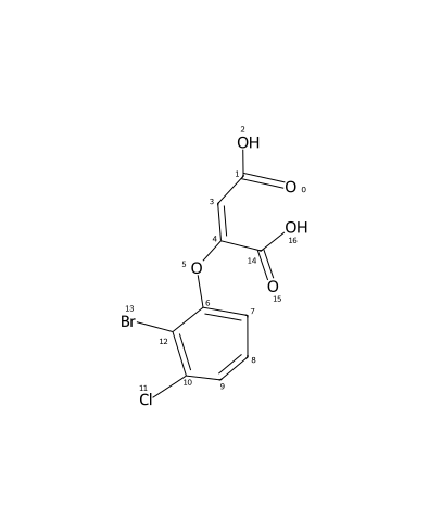 O=C(O)/C=C(/Oc1cccc(Cl)c1Br)C(=O)O